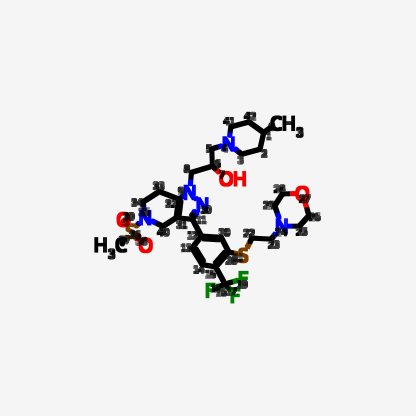 CC1CCN(CC(O)Cn2nc(-c3ccc(C(F)(F)F)c(SCCN4CCOCC4)c3)c3c2CCN(S(C)(=O)=O)C3)CC1